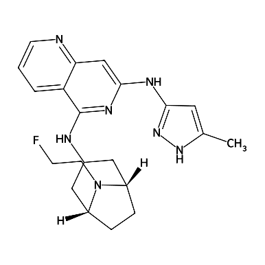 Cc1cc(Nc2cc3ncccc3c(NC3C[C@H]4CC[C@@H](C3)N4CCF)n2)n[nH]1